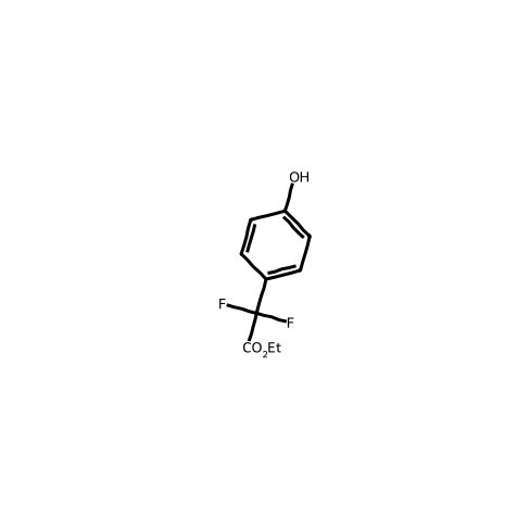 CCOC(=O)C(F)(F)c1ccc(O)cc1